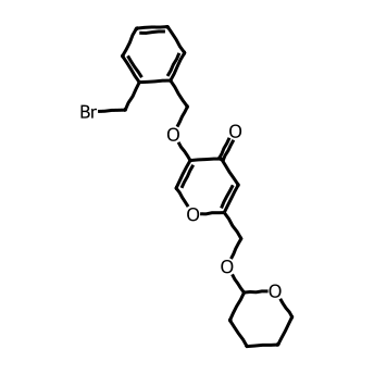 O=c1cc(COC2CCCCO2)occ1OCc1ccccc1CBr